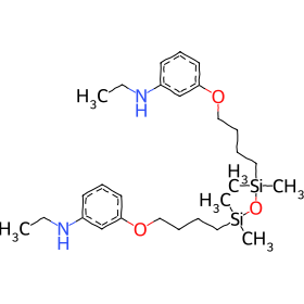 CCNc1cccc(OCCCC[Si](C)(C)O[Si](C)(C)CCCCOc2cccc(NCC)c2)c1